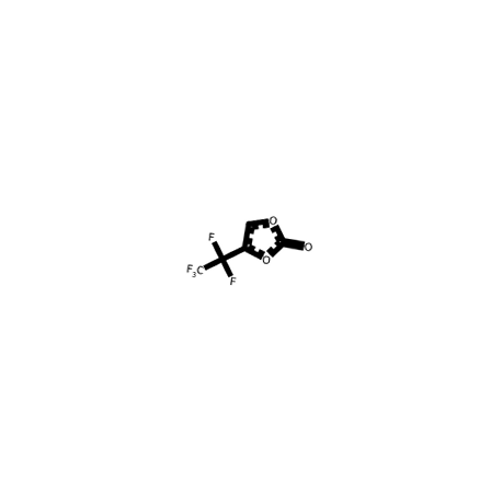 O=c1occ(C(F)(F)C(F)(F)F)o1